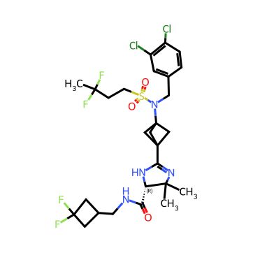 CC(F)(F)CCS(=O)(=O)N(Cc1ccc(Cl)c(Cl)c1)C12CC(C3=NC(C)(C)[C@H](C(=O)NCC4CC(F)(F)C4)N3)(C1)C2